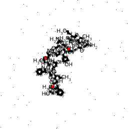 CCCC[C@@H](C(=O)N[C@@H](CC(C)C)C(=O)N[C@@H](CSCC(=O)N[C@@H](Cc1ccc(O)cc1)C(=O)N(C)[C@@H](C)C(=O)N[C@@H](CC(N)=O)C(=O)N1CCC[C@H]1C(=O)NC(CN)C(=O)N[C@@H](CC(C)C)C(=O)N1C[C@H](O)C[C@H]1C(=O)N[C@@H](Cc1c[nH]c2ccccc12)C(=O)N[C@@H](CCC)C(=O)N[C@@H](Cc1cn(CC(=O)O)c2ccccc12)C(=O)N(C)C)C(=O)NCC(N)=O)N(C)C